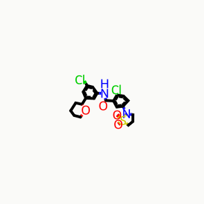 O=C(Nc1cc(Cl)cc(C2CCCCO2)c1)c1cc(N2CCCS2(=O)=O)ccc1Cl